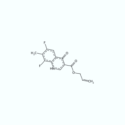 C=CCOC(=O)c1c[nH]c2c(F)c(C)c(F)cc2c1=O